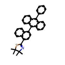 CC1(C)N=C(c2ccc(-c3c4ccccc4c(-c4ccccc4)c4ccccc34)c3ccccc23)SC1(C)C